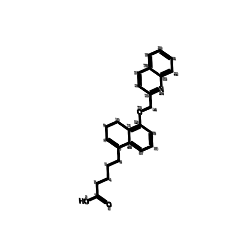 O=C(O)CCCCC1=CCCc2c(OCc3ccc4ccccc4n3)cccc21